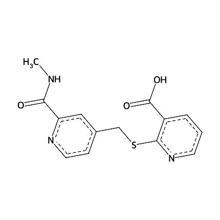 CNC(=O)c1cc(CSc2ncccc2C(=O)O)ccn1